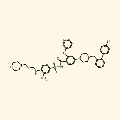 O=C(NS(=O)(=O)c1ccc(NCCCN2CCOCC2)c([N+](=O)[O-])c1)c1ccc(N2CCN(Cc3ccccc3-c3ccc(Cl)cc3)CC2)cc1Oc1cccnc1